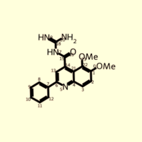 COc1ccc2nc(-c3ccccc3)cc(C(=O)NC(=N)N)c2c1OC